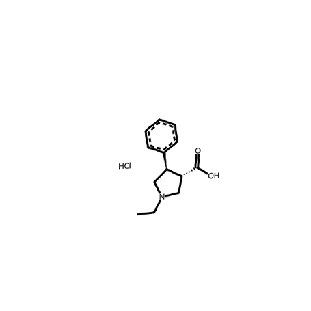 CCN1C[C@@H](C(=O)O)[C@H](c2ccccc2)C1.Cl